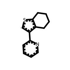 [c]1sc2c(c1-c1ccccn1)CCCC2